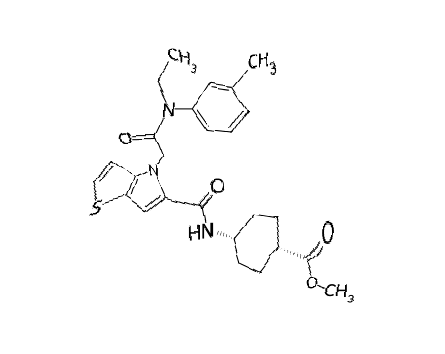 CCN(C(=O)Cn1c(C(=O)N[C@H]2CC[C@@H](C(=O)OC)CC2)cc2sccc21)c1cccc(C)c1